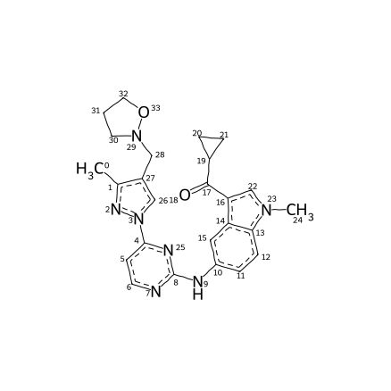 Cc1nn(-c2ccnc(Nc3ccc4c(c3)c(C(=O)C3CC3)cn4C)n2)cc1CN1CCCO1